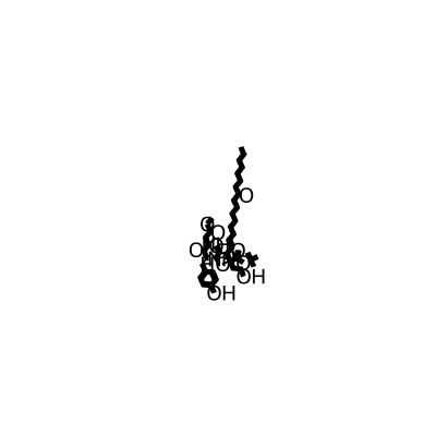 CCCCCCCC(=O)CCCCCC/C=C/[C@H](C(=O)N[C@@H](Cc1ccc(O)cc1)C(=O)NCC(=O)OC)[C@@](O)(CCO)C(=O)OC(C)(C)C